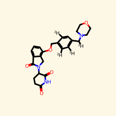 [2H]c1cc(C([2H])N2CCOCC2)c([2H])c([2H])c1COc1cccc2c1CN(C1CCC(=O)NC1=O)C2=O